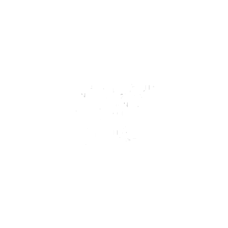 Br.C=C[C@@H]1CN2CCC1C[C@@H]2[C@H](O)c1ccnc2ccc(OC)cc12.O